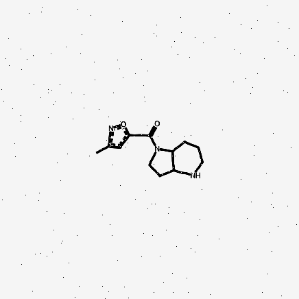 Cc1cc(C(=O)N2CCC3NCCCC32)on1